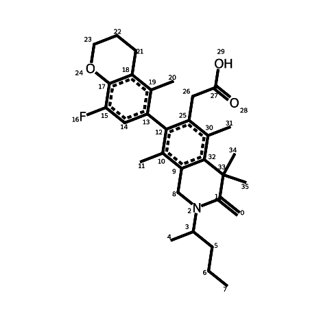 C=C1N(C(C)CCC)Cc2c(C)c(-c3cc(F)c4c(c3C)CCCO4)c(CC(=O)O)c(C)c2C1(C)C